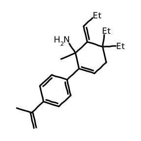 C=C(C)c1ccc(C2=CCC(CC)(CC)/C(=C\CC)C2(C)N)cc1